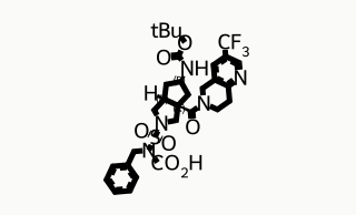 CC(C)(C)OC(=O)N[C@@H]1C[C@H]2CN(S(=O)(=O)N(Cc3ccccc3)C(=O)O)C[C@@]2(C(=O)N2CCc3ncc(C(F)(F)F)cc3C2)C1